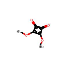 CCC(C)Oc1c(OC(C)CC)c(=O)c1=O